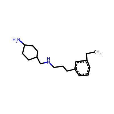 CCc1cccc(CCCNCC2CCC(N)CC2)c1